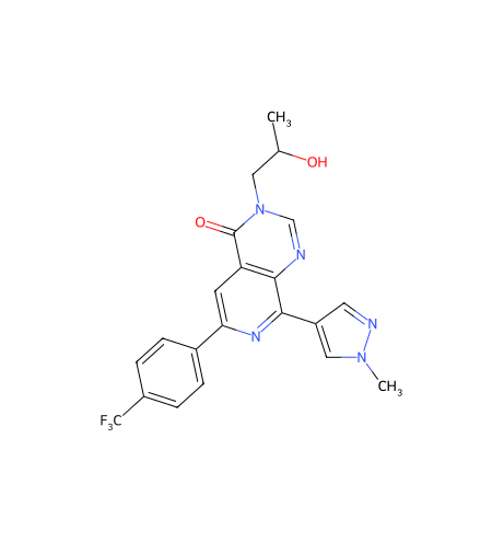 CC(O)Cn1cnc2c(-c3cnn(C)c3)nc(-c3ccc(C(F)(F)F)cc3)cc2c1=O